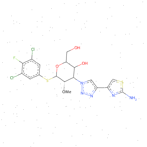 CO[C@@H]1C(Sc2cc(Cl)c(F)c(Cl)c2)OC(CO)C(O)C1n1cc(-c2csc(N)n2)nn1